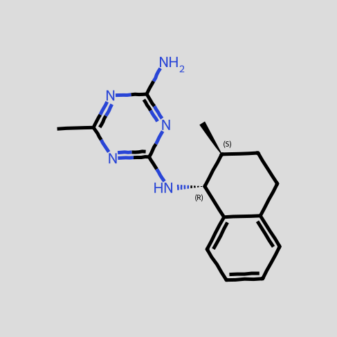 Cc1nc(N)nc(N[C@H]2c3ccccc3CC[C@@H]2C)n1